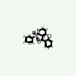 O=C(c1ccccc1Cl)c1cccnc1S(=O)(=O)c1ccccc1